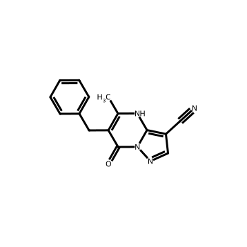 Cc1[nH]c2c(C#N)cnn2c(=O)c1Cc1ccccc1